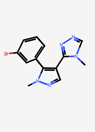 Cn1cnnc1-c1cnn(C)c1-c1cccc(Br)c1